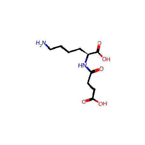 NCCCC[C@H](NC(=O)CCC(=O)O)C(=O)O